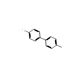 [CH2]c1ccc(-c2ccc([N+](=O)[O-])cc2)cc1